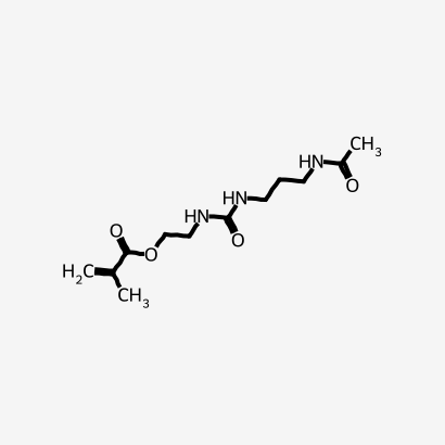 C=C(C)C(=O)OCCNC(=O)NCCCNC(C)=O